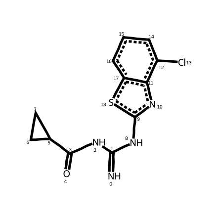 N=C(NC(=O)C1CC1)Nc1nc2c(Cl)cccc2s1